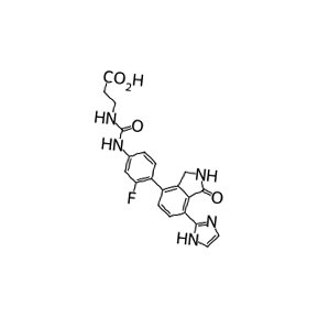 O=C(O)CCNC(=O)Nc1ccc(-c2ccc(-c3ncc[nH]3)c3c2CNC3=O)c(F)c1